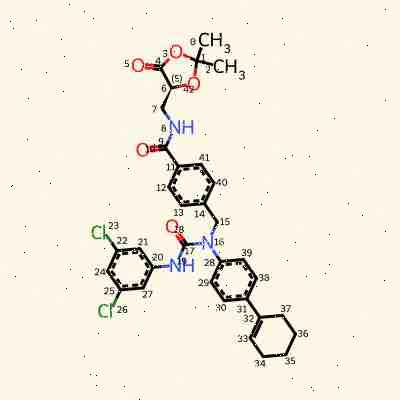 CC1(C)OC(=O)[C@H](CNC(=O)c2ccc(CN(C(=O)Nc3cc(Cl)cc(Cl)c3)c3ccc(C4=CCCCC4)cc3)cc2)O1